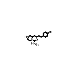 CCNC(=O)N1CCNCC1CCCCc1ccc(Br)cc1